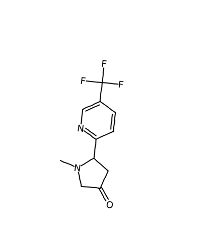 CN1CC(=O)CC1c1ccc(C(F)(F)F)cn1